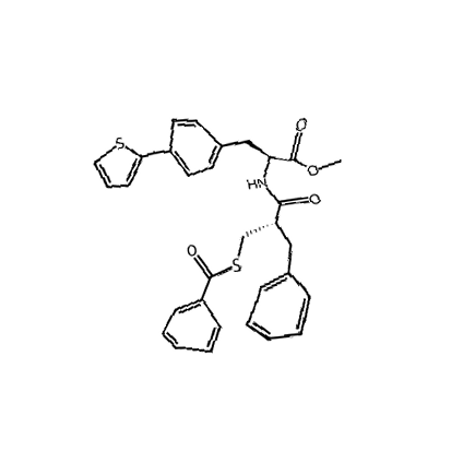 COC(=O)[C@H](Cc1ccc(-c2cccs2)cc1)NC(=O)[C@@H](CSC(=O)c1ccccc1)Cc1ccccc1